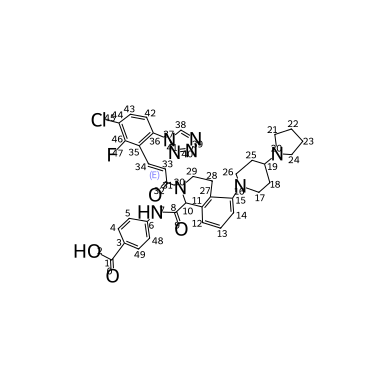 O=C(O)c1ccc(NC(=O)C2c3cccc(N4CCC(N5CCCC5)CC4)c3CCN2C(=O)/C=C/c2c(-n3cnnn3)ccc(Cl)c2F)cc1